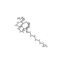 CCCCCCCCOC1=POCC2c3c(cccc31)CCC2OC